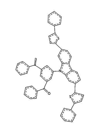 C=C(c1ccccc1)c1cc(C(=O)c2ccccc2)cc(-n2c3cc(-c4ccc(-c5ccccc5)s4)ccc3c3ccc(-c4ccc(-c5ccccc5)s4)cc32)c1